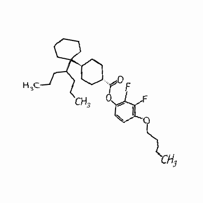 CCCCOc1ccc(OC(=O)[C@H]2CC[C@H](C3(C(CCC)CCC)CCCCC3)CC2)c(F)c1F